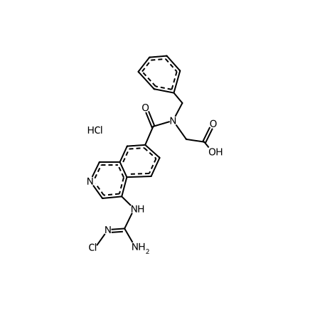 Cl.NC(=NCl)Nc1cncc2cc(C(=O)N(CC(=O)O)Cc3ccccc3)ccc12